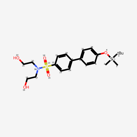 CC(C)(C)[Si](C)(C)Oc1ccc(-c2ccc(S(=O)(=O)N(CCO)CCO)cc2)cc1